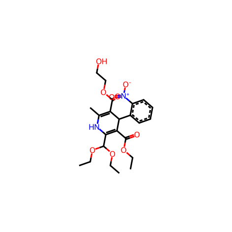 CCOC(=O)C1=C(C(OCC)OCC)NC(C)=C(C(=O)OCCO)C1c1ccccc1[N+](=O)[O-]